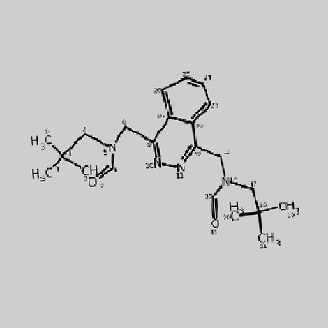 CC(C)(C)CN(C=O)Cc1nnc(CN(C=O)CC(C)(C)C)c2ccccc12